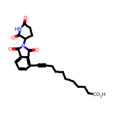 O=C(O)CCCCCCCCC#Cc1cccc2c1C(=O)N(C1CCC(=O)NC1=O)C2=O